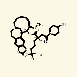 CO/C1=C/CCCCN2CCc3cc4c(cc3[C@@H](C2)[C@@H]1OC(=O)[C@@](O)(CCCC(C)(C)O)CC(=O)N1CCC(O)CC1)OCO4